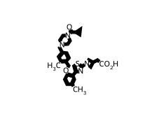 Cc1ccc(OCc2ccc(CN3CCN(C(=O)C4CC4)CC3)cc2C)c(-c2csc(N3CC(CC(=O)O)C3)n2)c1